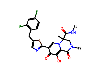 CCNC(=O)C1(C)CN(C(C)C)C(=O)c2c(O)c(=O)c(-c3ncc(Cc4ccc(F)cc4F)s3)cn21